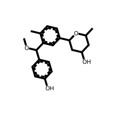 COC(c1ccc(O)cc1)c1cc(C2CC(O)CC(C)O2)ccc1C